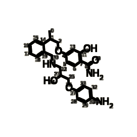 CC(COc1ccc(C(N)=O)c(O)c1)c1ccccc1CNCC(O)COc1ccc(N)cc1